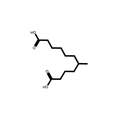 CC(CCCCCC(=O)O)CCCC(=O)O